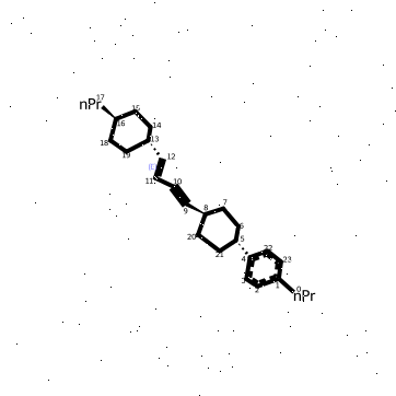 CCCc1ccc([C@H]2CC[C@H](C#C/C=C/[C@H]3CC[C@H](CCC)CC3)CC2)cc1